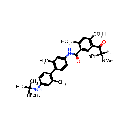 CCCCCC(C)(C)Nc1ccc(-c2ccc(NC(=O)c3cc(C(=O)C(CC)(CCC)NC)c(C(=O)O)cc3C(=O)O)cc2C)c(C)c1